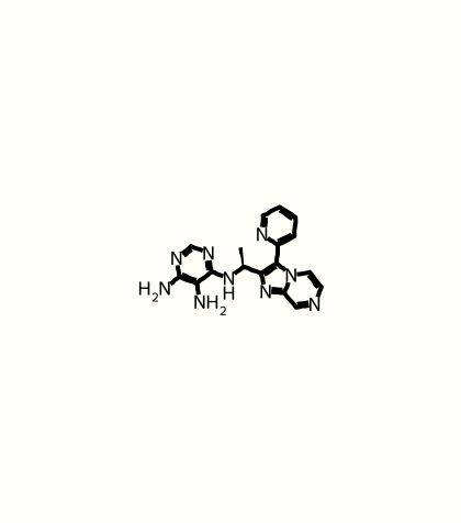 C[C@H](Nc1ncnc(N)c1N)c1nc2cnccn2c1-c1ccccn1